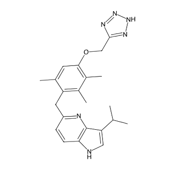 Cc1cc(OCc2nn[nH]n2)c(C)c(C)c1Cc1ccc2[nH]cc(C(C)C)c2n1